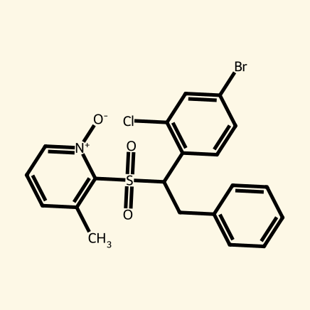 Cc1ccc[n+]([O-])c1S(=O)(=O)C(Cc1ccccc1)c1ccc(Br)cc1Cl